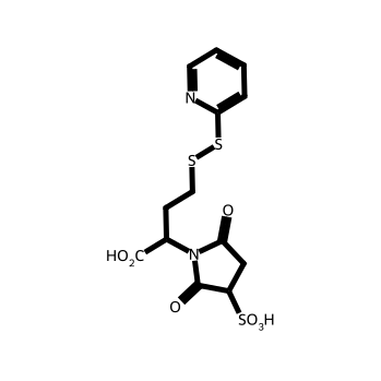 O=C(O)C(CCSSc1ccccn1)N1C(=O)CC(S(=O)(=O)O)C1=O